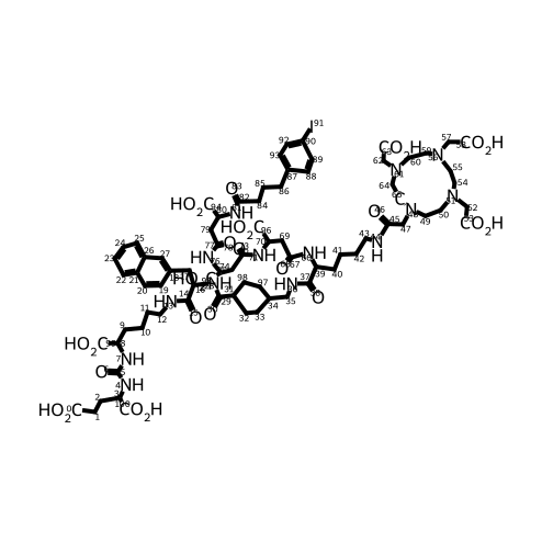 O=C(O)CCC(NC(=O)NC(CCCCNC(=O)C(Cc1ccc2ccccc2c1)NC(=O)C1CCC(CNC(=O)C(CCCCNC(=O)CN2CCN(CC(=O)O)CCN(CC(=O)O)CCN(CC(=O)O)CC2)NC(=O)CC(NC(=O)CC(NC(=O)CC(NC(=O)CCCc2ccc(I)cc2)C(=O)O)C(=O)O)C(=O)O)CC1)C(=O)O)C(=O)O